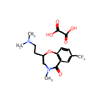 CN(C)CCC1CN(C)C(=O)c2cc(C(F)(F)F)ccc2O1.O=C(O)C(=O)O